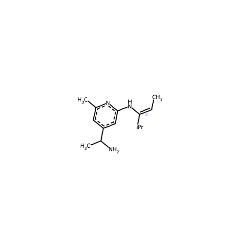 C/C=C(\Nc1cc(C(C)N)cc(C)n1)C(C)C